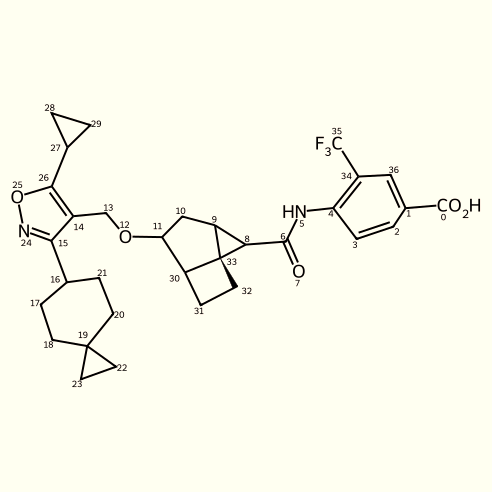 O=C(O)c1ccc(NC(=O)C2C3CC(OCc4c(C5CCC6(CC5)CC6)noc4C4CC4)C4CC[C@@]432)c(C(F)(F)F)c1